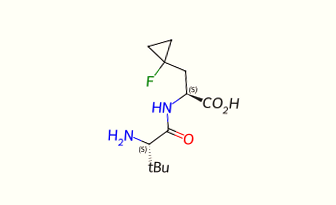 CC(C)(C)[C@H](N)C(=O)N[C@@H](CC1(F)CC1)C(=O)O